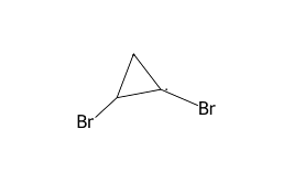 Br[C]1CC1Br